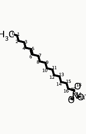 CCCCC/C=C/CCCCCCCCCCC(=O)[N+](=O)[O-]